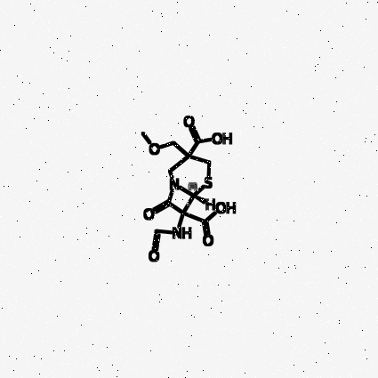 COCC1(C(=O)O)CS[C@H]2N(C1)C(=O)C2(NC=O)C(=O)O